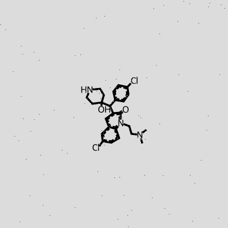 CN(C)CCn1c(=O)c(C(c2ccc(Cl)cc2)C2(O)CCNCC2)cc2cc(Cl)ccc21